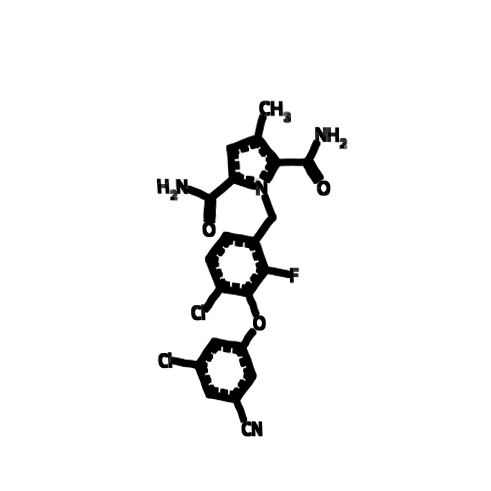 Cc1cc(C(N)=O)n(Cc2ccc(Cl)c(Oc3cc(Cl)cc(C#N)c3)c2F)c1C(N)=O